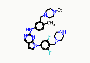 CCN1CCN(Cc2cc(Nc3ncc4ccn(-c5cc(F)c(CN6CCNCC6)c(F)c5)c4n3)ccc2C)CC1